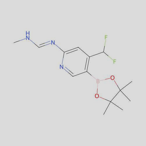 CN/C=N/c1cc(C(F)F)c(B2OC(C)(C)C(C)(C)O2)cn1